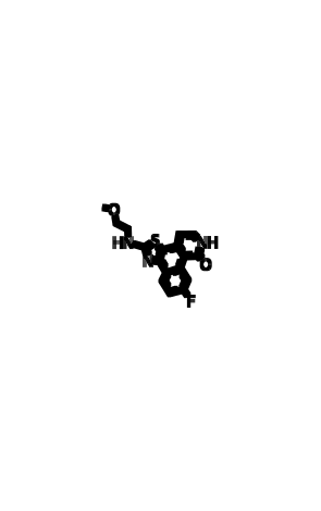 COCCNc1nc2c3ccc(F)cc3c3c(=O)[nH]ccc3c2s1